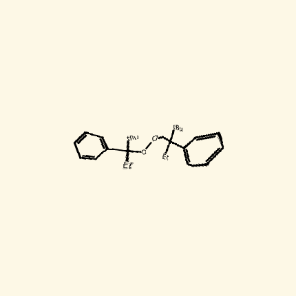 CCC(OOC(CC)(c1ccccc1)C(C)(C)C)(c1ccccc1)C(C)(C)C